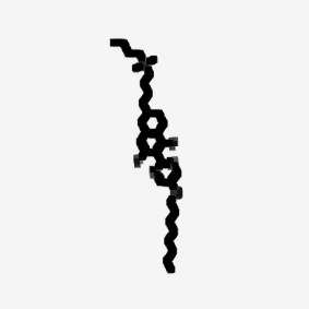 CCCCCCCCOc1cnc(-c2c(F)cc3c(c2F)CCC(CCCC[Si](C)(C)CCCC)C3)nc1